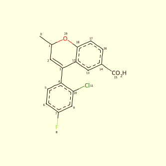 CC1C=C(c2ccc(F)cc2Cl)c2cc(C(=O)O)ccc2O1